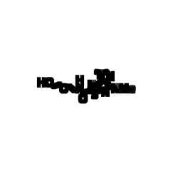 CNc1nc2sc(C(=O)NCCOCCO)nc2c2c1ncn2C